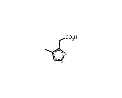 Cc1csnc1CC(=O)O